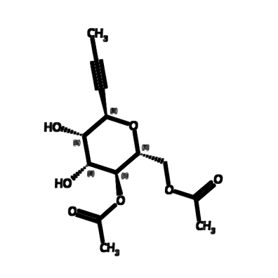 CC#C[C@H]1O[C@H](COC(C)=O)[C@@H](OC(C)=O)[C@H](O)[C@@H]1O